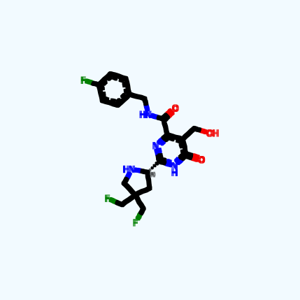 O=C(NCc1ccc(F)cc1)c1nc([C@@H]2CC(CF)(CF)CN2)[nH]c(=O)c1CO